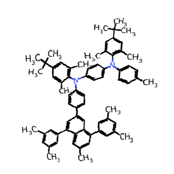 Cc1ccc(N(c2ccc(N(c3ccc(-c4cc(-c5cc(C)cc(C)c5)c5cc(C)cc(-c6cc(C)cc(C)c6)c5c4)cc3)c3c(C)cc(C(C)(C)C)cc3C)cc2)c2c(C)cc(C(C)(C)C)cc2C)cc1